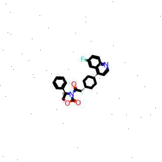 O=C(C[C@H]1CC[C@@H](c2ccnc3ccc(F)cc32)CC1)N1C(=O)OC[C@H]1c1ccccc1